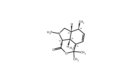 C[C@H]1C=C[C@@]2(C)[C@H]3[C@@H]1CN(P)[C@@H]3C(=O)OC2(C)C